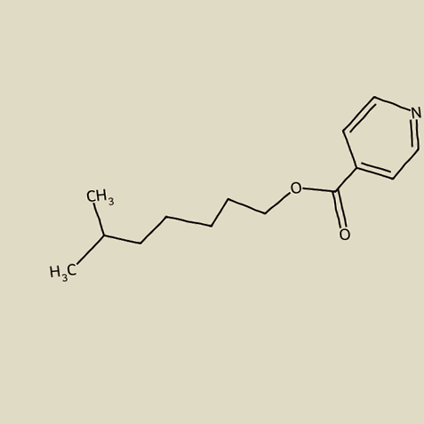 CC(C)CCCCCOC(=O)c1ccncc1